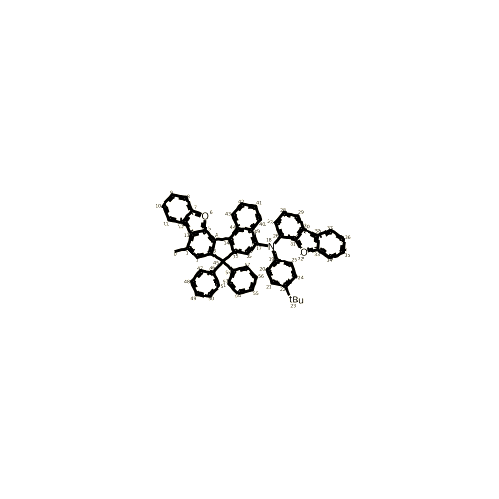 Cc1cc2c(c3oc4ccccc4c13)-c1c(cc(N(c3ccc(C(C)(C)C)cc3)c3cccc4c3oc3ccccc34)c3ccccc13)C2(c1ccccc1)c1ccccc1